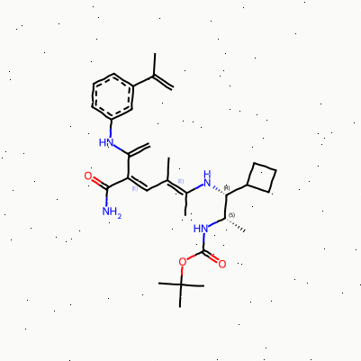 C=C(Nc1cccc(C(=C)C)c1)/C(=C\C(C)=C(/C)N[C@H](C1CCC1)[C@H](C)NC(=O)OC(C)(C)C)C(N)=O